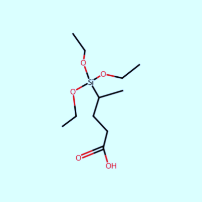 CCO[Si](OCC)(OCC)C(C)CCC(=O)O